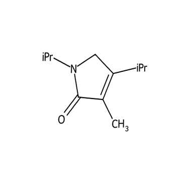 CC1=C(C(C)C)CN(C(C)C)C1=O